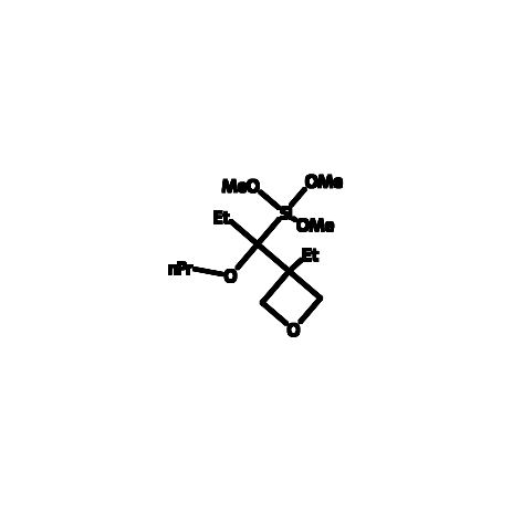 CCCOC(CC)(C1(CC)COC1)[Si](OC)(OC)OC